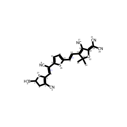 BC1CC(C#N)=C(/C=C(\C#N)c2ccc(/C=C/C3=C(C#N)C(=C(C#N)C#N)OC3(C)C)s2)S1